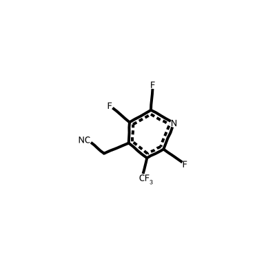 N#CCc1c(F)c(F)nc(F)c1C(F)(F)F